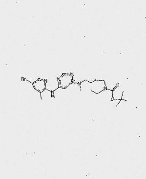 Cc1cc(Br)cnc1Nc1cc(N(C)CC2CCN(C(=O)OC(C)(C)C)CC2)ncn1